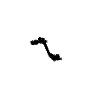 Cc1nc(OCCCCCOCCCOCC(=O)N[C@H](C(=O)N2CCC[C@H]2C(=O)NCc2ccc(-c3scnc3C)cc2)C(C)(C)C)ccc1N1C(=S)N(c2ccc(C#N)c(C(F)(F)F)c2F)C(=O)C1(C)C